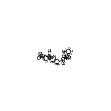 COc1cc(C(=O)ONS(=O)(=O)c2ccccc2C)ccc1Cc1n[nH]c2cc([N+](=O)[O-])ccc12